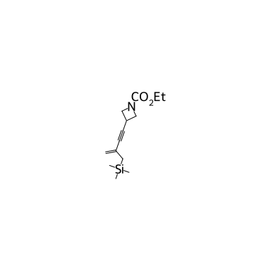 C=C(C#CC1CN(C(=O)OCC)C1)C[Si](C)(C)C